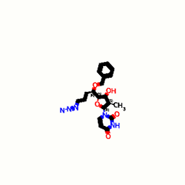 C[C@H]1C(O)[C@@H]([C@@H](CCCN=[N+]=[N-])OCc2ccccc2)O[C@H]1n1ccc(=O)[nH]c1=O